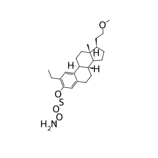 CCc1cc2c(cc1OSOON)CC[C@@H]1[C@@H]2CC[C@]2(C)[C@@H](CCOC)CC[C@@H]12